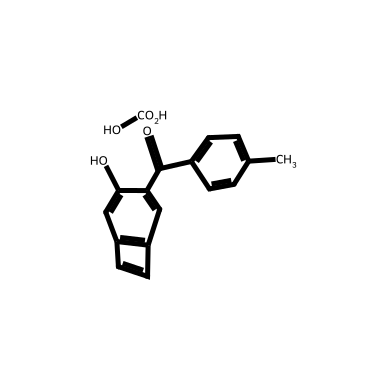 Cc1ccc(C(=O)c2cc3c(cc2O)C=C3)cc1.O=C(O)O